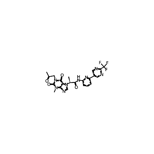 CC(=O)Cn1c(=O)c2c(ncn2[C@@H](C)C(=O)Nc2cccc(-c3cnc(C(F)(F)F)nc3)n2)n(C)c1=O